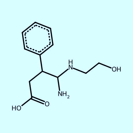 NC(NCCO)C(CC(=O)O)c1ccccc1